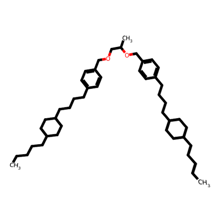 CCCCCC1CCC(CCCCc2ccc(COCC(C)OCc3ccc(CCCCC4CCC(CCCCC)CC4)cc3)cc2)CC1